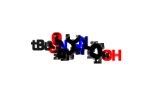 CC(C)(C)OC(=O)N1Cc2cnc(-c3ccc(O)cc3)nc2CC12CCC2